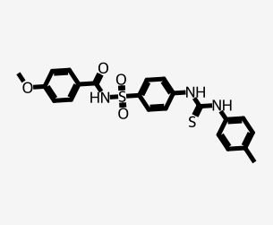 COc1ccc(C(=O)NS(=O)(=O)c2ccc(NC(=S)Nc3ccc(C)cc3)cc2)cc1